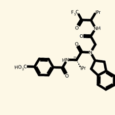 CC(C)C(NC(=O)CN(C(=O)[C@@H](NC(=O)c1ccc(C(=O)O)cc1)C(C)C)C1Cc2ccccc2C1)C(=O)C(F)(F)F